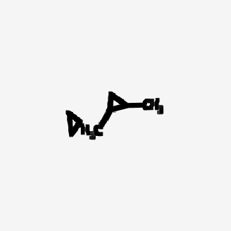 C1CC1.CC1CC1C